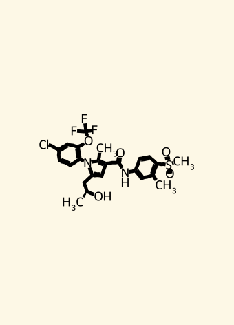 Cc1cc(NC(=O)c2cc(C[C@H](C)O)n(-c3ccc(Cl)cc3OC(F)(F)F)c2C)ccc1S(C)(=O)=O